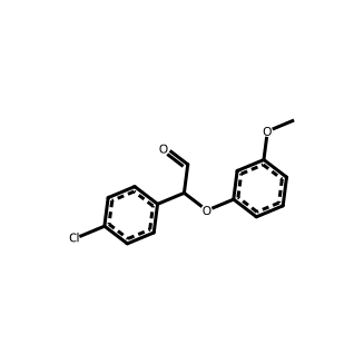 COc1cccc(OC(C=O)c2ccc(Cl)cc2)c1